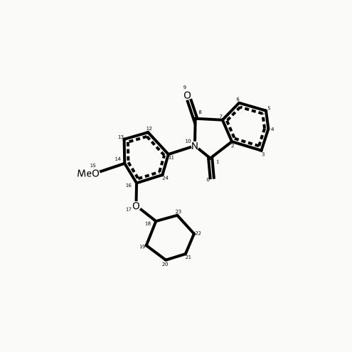 C=C1c2ccccc2C(=O)N1c1ccc(OC)c(OC2CCCCC2)c1